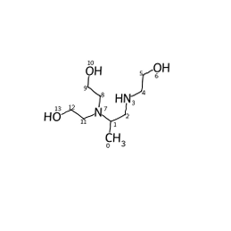 CC(CNCCO)N(CCO)CCO